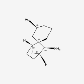 CC(=O)[C@H]1CCC[C@]2(C1)[C@H]1CC[C@H](C1)[C@@H]2N